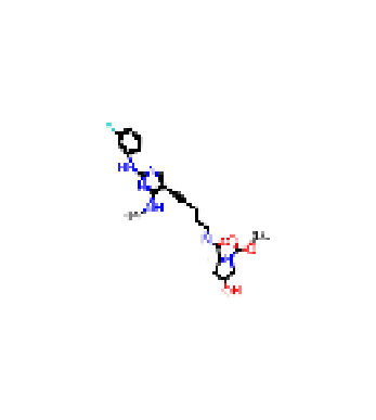 CCCNc1nc(Nc2cccc(F)c2)ncc1C#CCCCNC(=O)[C@]1(C)C[C@H](O)CN1C(=O)OC(C)(C)C